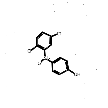 [O-][S+](c1ccc(O)cc1)c1cc(Cl)ccc1Cl